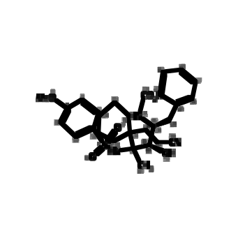 COc1ccc(S(=O)(=O)NC(C)([C@H](O)[C@H](Cc2ccccc2)NC(=O)O)C2(CCC#N)CCCCC2)cc1